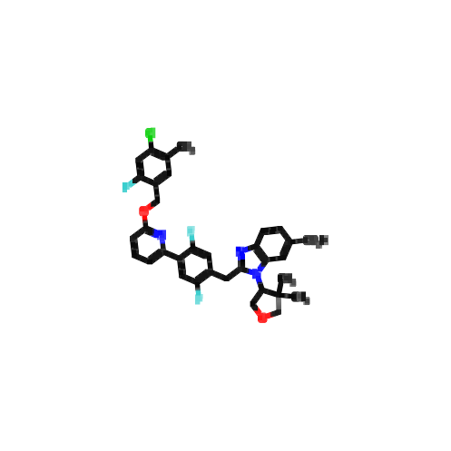 Cc1cc(COc2cccc(-c3cc(F)c(Cc4nc5ccc(C(=O)O)cc5n4C4COCC4(C)C)cc3F)n2)c(F)cc1Cl